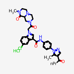 CCCC(=O)c1cnn(-c2ccc(NC(=O)c3cn(CC(=O)N4CCN5CCN(C)C(=O)C5C4)c4ccc(Cl)cc34)cc2)c1C.Cl